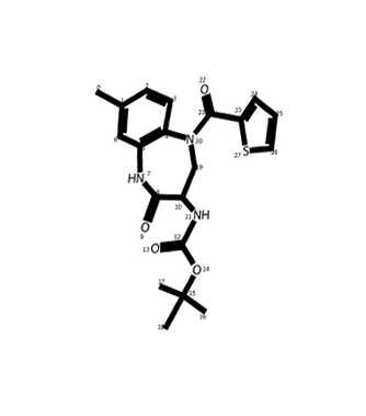 Cc1ccc2c(c1)NC(=O)C(NC(=O)OC(C)(C)C)CN2C(=O)c1cccs1